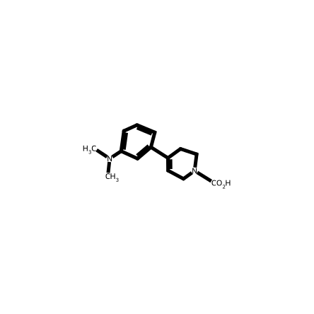 CN(C)c1cccc(C2=CCN(C(=O)O)CC2)c1